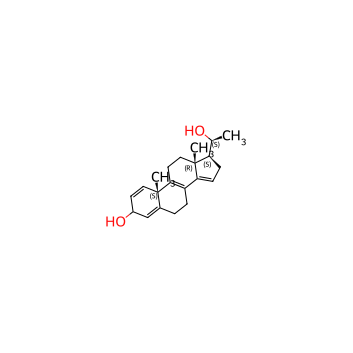 C[C@H](O)[C@H]1CC=C2C3=C(CC[C@@]21C)[C@@]1(C)C=CC(O)C=C1CC3